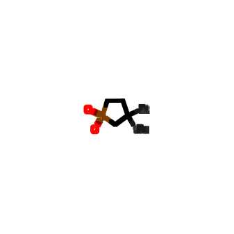 CCC1(C(C)(C)C)CCS(=O)(=O)C1